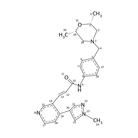 C[C@@H]1CN(Cc2ccc(NC(=O)/C=C/c3cnccc3-c3cnn(C)c3)cc2)C[C@H](C)O1